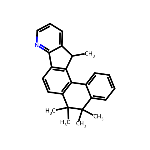 CC1c2cccnc2-c2ccc3c(c21)-c1ccccc1C(C)(C)C3(C)C